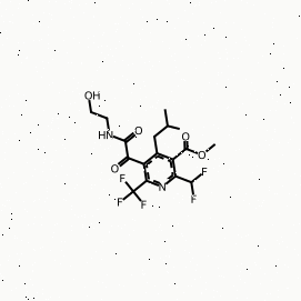 COC(=O)c1c(C(F)F)nc(C(F)(F)F)c(C(=O)C(=O)NCCO)c1CC(C)C